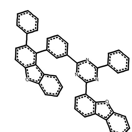 c1ccc(-c2nc(-c3cccc(-c4c(-c5ccccc5)ccc5oc6ccccc6c45)c3)nc(-c3cccc4c3oc3ccccc34)n2)cc1